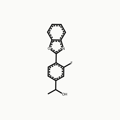 CC(O)c1ccc(-c2nc3ccccc3o2)c(F)c1